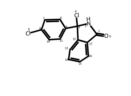 O=C1NC(Cl)(c2ccc(Cl)cc2)c2ccccc21